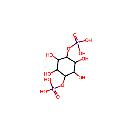 O=P(O)(O)OC1C(O)C(O)C(OP(=O)(O)O)C(O)C1O